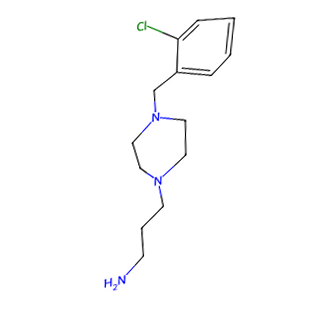 NCCCN1CCN(Cc2ccccc2Cl)CC1